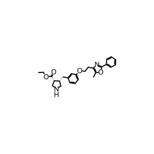 CCOC(=O)[C@H]1CNC[C@H]1Cc1cccc(OCCc2nc(-c3ccccc3)oc2C)c1